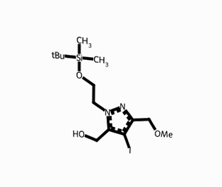 COCc1nn(CCO[Si](C)(C)C(C)(C)C)c(CO)c1I